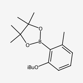 Cc1cccc(OCC(C)C)c1B1OC(C)(C)C(C)(C)O1